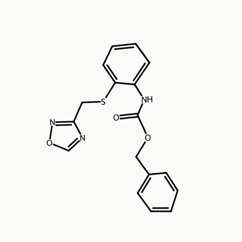 O=C(Nc1ccccc1SCc1ncon1)OCc1ccccc1